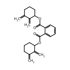 C=C1CCCC(OC(=O)c2ccccc2C(=O)OC2CCCC(=C)C2=C)C1=C